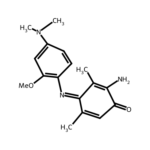 COc1cc(N(C)C)ccc1N=C1C(C)=CC(=O)C(N)=C1C